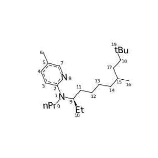 CCCN(c1ccc(C)cn1)[C@H](CC)CCCCC(C)CCC(C)(C)C